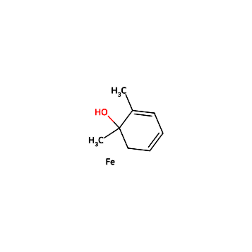 CC1=CC=CCC1(C)O.[Fe]